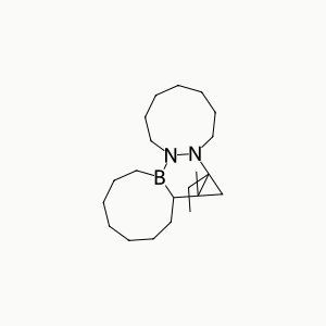 CCC12CC1(C)C1CCCCCCCB1N1CCCCCCCN12